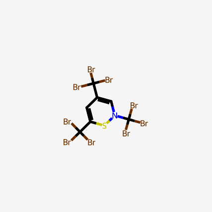 BrC(Br)(Br)C1=CN(C(Br)(Br)Br)SC(C(Br)(Br)Br)=C1